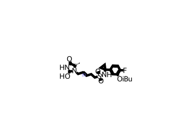 CC(C)COc1cc(C2(NS(=O)(=O)CC/C=C/CN3C(O)NC(=O)[C@@H]3C)CC2)ccc1F